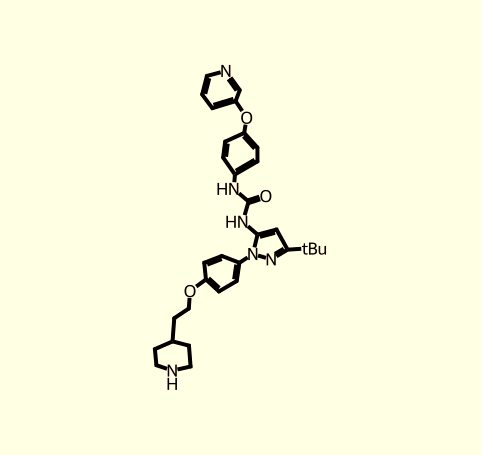 CC(C)(C)c1cc(NC(=O)Nc2ccc(Oc3cccnc3)cc2)n(-c2ccc(OCCC3CCNCC3)cc2)n1